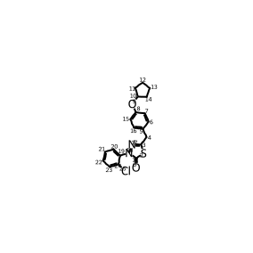 O=c1sc(Cc2ccc(OC3CCCC3)cc2)nn1-c1ccccc1Cl